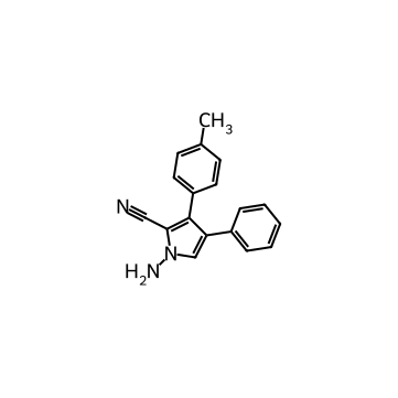 Cc1ccc(-c2c(-c3ccccc3)cn(N)c2C#N)cc1